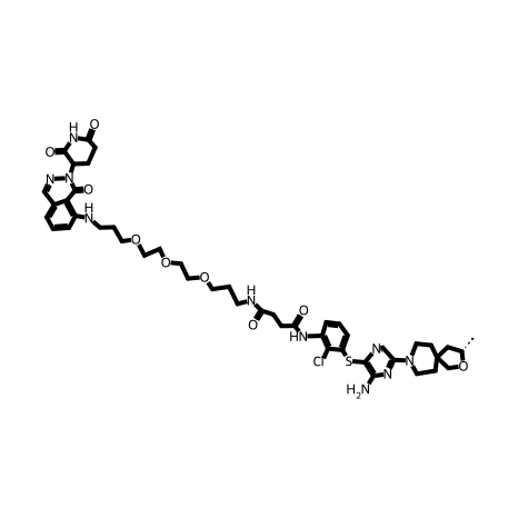 C[C@H]1CC2(CCN(c3cnc(Sc4cccc(NC(=O)CCC(=O)NCCCOCCOCCOCCCNc5cccc6cnn(C7CCC(=O)NC7=O)c(=O)c56)c4Cl)c(N)n3)CC2)CO1